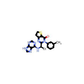 CCC(Nc1ncnc2[nH]cnc12)c1nc2ccsc2c(=O)n1-c1cccc(C)c1